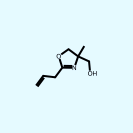 C=CCC1=NC(C)(CO)CO1